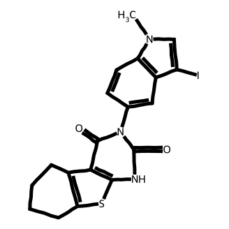 Cn1cc(I)c2cc(-n3c(=O)[nH]c4sc5c(c4c3=O)CCCC5)ccc21